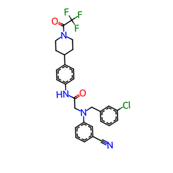 N#Cc1cccc(N(CC(=O)Nc2ccc(C3CCN(C(=O)C(F)(F)F)CC3)cc2)Cc2cccc(Cl)c2)c1